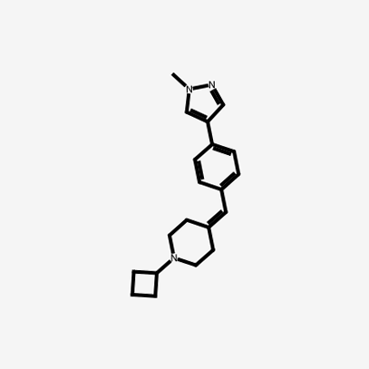 Cn1cc(-c2ccc(C=C3CCN(C4CCC4)CC3)cc2)cn1